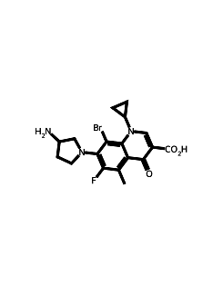 Cc1c(F)c(N2CCC(N)C2)c(Br)c2c1c(=O)c(C(=O)O)cn2C1CC1